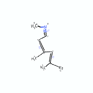 CC/C(C)=C/C(C)=C\C=N/C